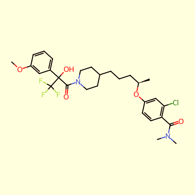 COc1cccc(C(O)(C(=O)N2CCC(CCC[C@@H](C)Oc3ccc(C(=O)N(C)C)c(Cl)c3)CC2)C(F)(F)F)c1